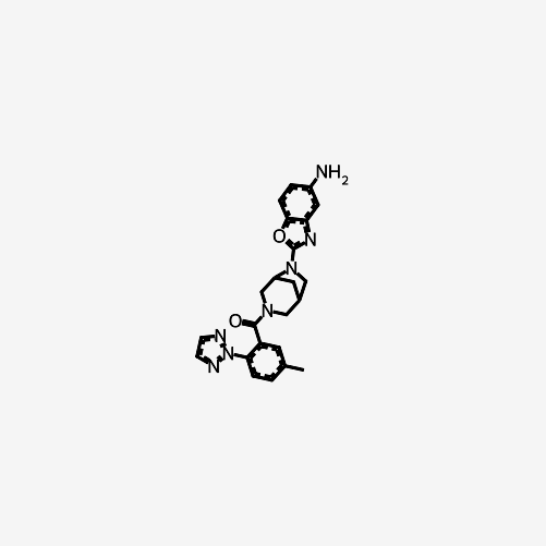 Cc1ccc(-n2nccn2)c(C(=O)N2CC3CC(C2)N(c2nc4cc(N)ccc4o2)C3)c1